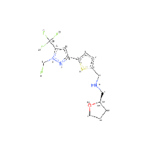 FCn1nc(-c2ccc(CNC[C@H]3CCCO3)s2)cc1C(F)(F)F